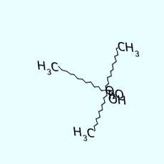 CCCCCCCCCCCCCC(CCCCCCCCCCCC)(CCCCCCCCCCCC)[O][Ti](=[O])[OH]